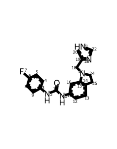 O=C(Nc1ccc(F)cc1)Nc1ccc2c(c1)N(Cc1c[nH]cn1)CC2